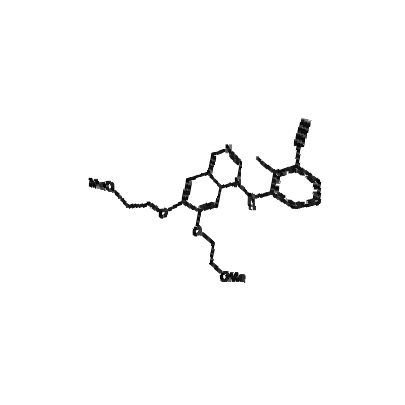 C#Cc1cccc(NN2C=NC=C3C=C(OCCOC)C(OCCOC)=CC32)c1C